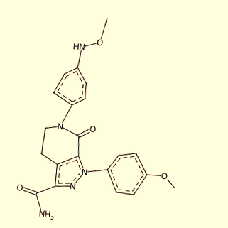 CONc1ccc(N2CCc3c(C(N)=O)nn(-c4ccc(OC)cc4)c3C2=O)cc1